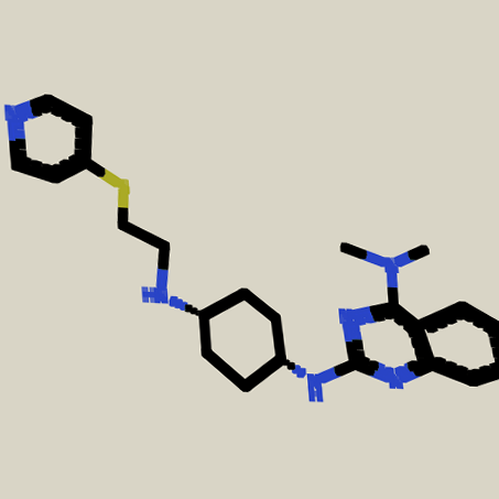 CN(C)c1nc(N[C@H]2CC[C@@H](NCCSc3ccncc3)CC2)nc2ccccc12